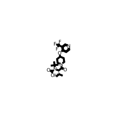 CC(C)[C@@H](C(=O)N1CCC(Oc2ccncc2C(F)(F)F)CC1)N(C(=O)O)C(C)(C)C